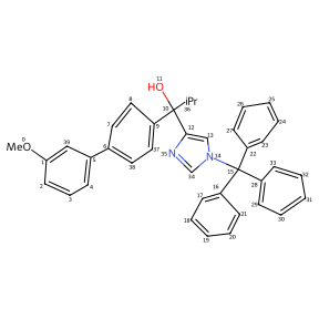 COc1cccc(-c2ccc(C(O)(c3cn(C(c4ccccc4)(c4ccccc4)c4ccccc4)cn3)C(C)C)cc2)c1